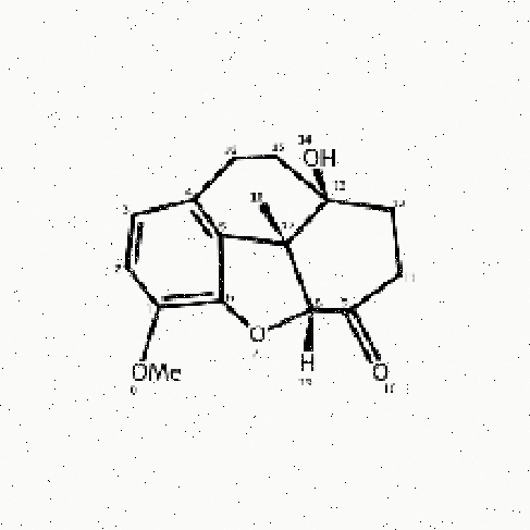 COc1ccc2c3c1O[C@H]1C(=O)CC[C@@](O)(CC2)[C@@]31C